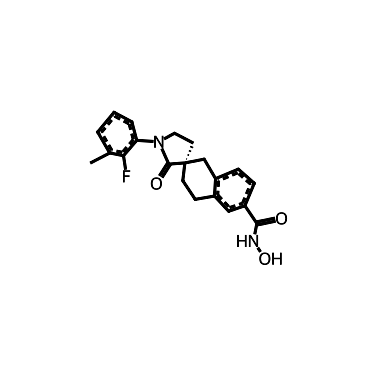 Cc1cccc(N2CC[C@]3(CCc4cc(C(=O)NO)ccc4C3)C2=O)c1F